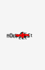 CCCCCCCCN(CCCCCCCC)c1ccc(-c2cc3sc(-c4c5nsnc5c(-c5cc6sc(C#CCC(CC)CCCC)cc6s5)c5nc(CC)c(CC)nc45)cc3s2)cc1